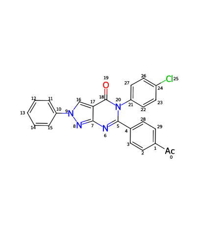 CC(=O)c1ccc(-c2nc3nn(-c4ccccc4)cc3c(=O)n2-c2ccc(Cl)cc2)cc1